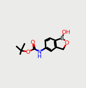 CC(C)(C)OC(=O)Nc1ccc2c(c1)COB2O